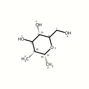 C[C@@H]1C(O)[C@H](O)C(CO)O[C@@H]1C